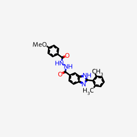 COc1ccc(C(=O)NNC(=O)c2ccc3nc(-c4c(C)cccc4C)[nH]c3c2)cc1